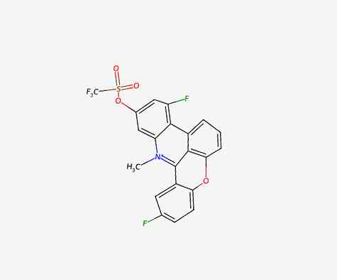 C[n+]1c2c3c(cccc3c3c(F)cc(OS(=O)(=O)C(F)(F)F)cc31)Oc1ccc(F)cc1-2